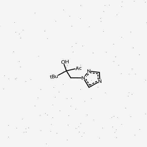 CC(=O)C(O)(Cn1cncn1)C(C)(C)C